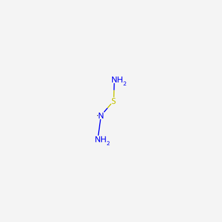 N[N]SN